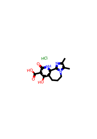 Cc1nc2n(c1C)CCCc1c-2[nH]c(=O)c(C(=O)O)c1O.Cl